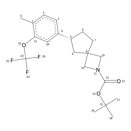 Cc1ccc([C@@H]2CCC3(C2)CN(C(=O)OC(C)(C)C)C3)cc1OC(F)(F)F